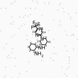 N[C@@H]1CCCC[C@H]1N[C@H]1CCCN(c2cnc(C(F)(F)F)cn2)C1